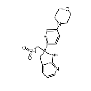 O=[SH](=O)CC1(c2ccc(N3CCOCC3)cc2)Cc2cccnc2N1